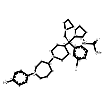 COC(=O)N[C@H]1CCC[C@@H]1[C@](CN1CCC1)(c1cccc(F)c1)C1CCN(C2CCCN(c3ccc(C#N)cc3)CC2)CC1